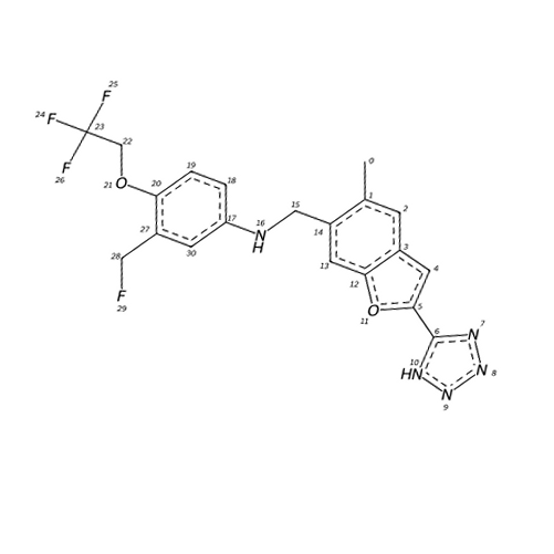 Cc1cc2cc(-c3nnn[nH]3)oc2cc1CNc1ccc(OCC(F)(F)F)c(CF)c1